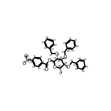 C[C@H]1OC(OC(=O)c2ccc([N+](=O)[O-])cc2)[C@H](OCc2ccccc2)[C@@H](OCc2ccccc2)[C@H]1OCc1ccccc1